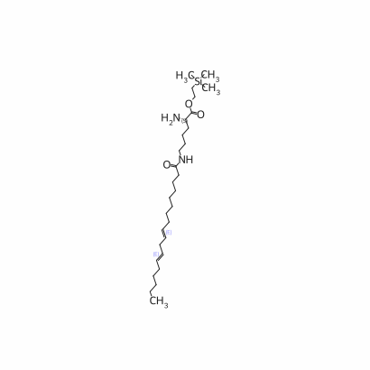 CCCCC/C=C/C/C=C/CCCCCCCC(=O)NCCCC[C@H](N)C(=O)OCC[Si](C)(C)C